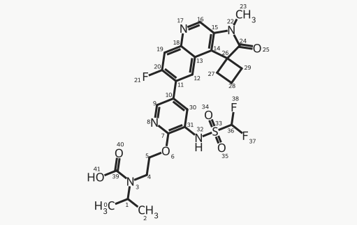 CC(C)N(CCOc1ncc(-c2cc3c4c(cnc3cc2F)N(C)C(=O)C42CCC2)cc1NS(=O)(=O)C(F)F)C(=O)O